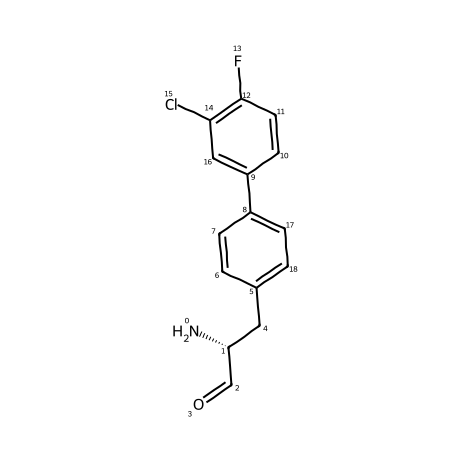 N[C@@H](C=O)Cc1ccc(-c2ccc(F)c(Cl)c2)cc1